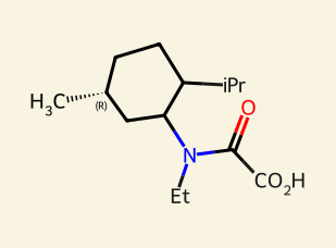 CCN(C(=O)C(=O)O)C1C[C@H](C)CCC1C(C)C